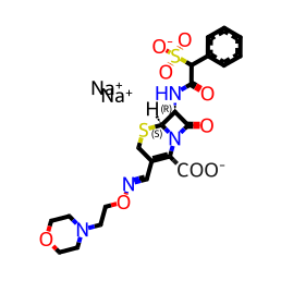 O=C([O-])C1=C(C=NOCCN2CCOCC2)CS[C@H]2[C@H](NC(=O)C(c3ccccc3)S(=O)(=O)[O-])C(=O)N12.[Na+].[Na+]